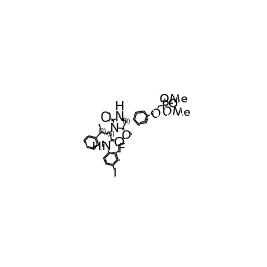 COP(=O)(COc1ccc([C@H]2NC(=O)N([C@H](C(=O)Nc3ccc(I)cc3F)[C@H](C)c3ccccc3)C2=O)cc1)OC